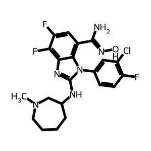 CN1CCCCC(Nc2nc3c(F)c(F)cc(C(N)=NO)c3n2-c2ccc(F)c(Cl)c2)C1